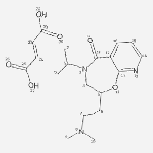 CC(C)N1CC(CCN(C)C)Oc2ncccc2C1=O.O=C(O)C=CC(=O)O